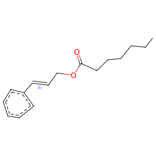 CCCCCCC(=O)OC/C=C/c1ccccc1